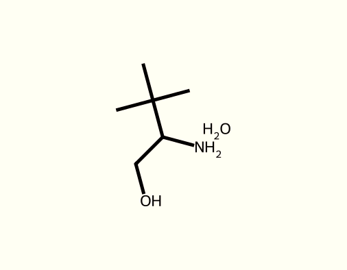 CC(C)(C)C(N)CO.O